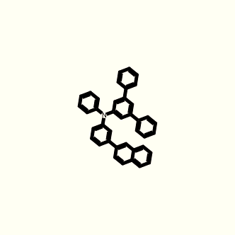 c1ccc(-c2cc(-c3ccccc3)cc(N(c3ccccc3)c3cccc(-c4ccc5ccccc5c4)c3)c2)cc1